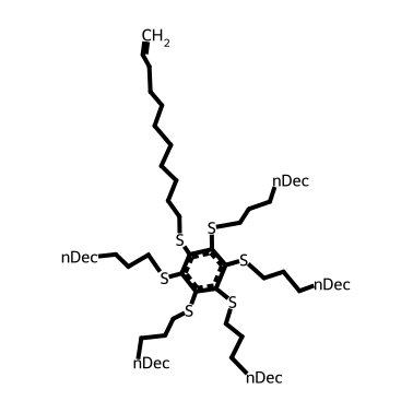 C=CCCCCCCCCCSc1c(SCCCCCCCCCCCCC)c(SCCCCCCCCCCCCC)c(SCCCCCCCCCCCCC)c(SCCCCCCCCCCCCC)c1SCCCCCCCCCCCCC